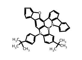 CC(C)(C)c1ccc(N2c3ccc(C(C)(C)C)cc3B3c4c2cc2c(oc5ccccc52)c4-c2cccc4c5ccccc5n3c24)cc1